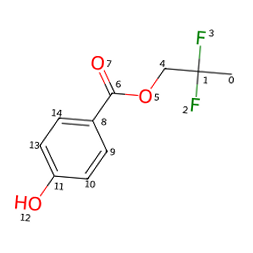 CC(F)(F)COC(=O)c1ccc(O)cc1